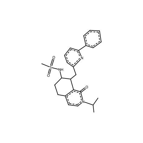 CC(C)n1ccc2c(c1=O)C(Cc1cccc(-c3ccccc3)n1)C(NS(C)(=O)=O)CC2